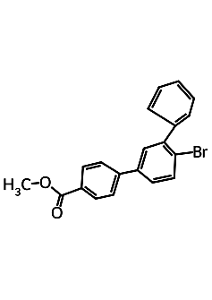 COC(=O)c1ccc(-c2ccc(Br)c(-c3ccccc3)c2)cc1